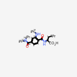 CC(C)CC(NC(=O)c1ccc(C(=O)N(C(C)C)C(C)C)cc1NC(C)C)C(=O)O